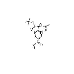 CNC1CC1(C(=O)OC(C)(C)C)c1ncc(C(=O)OC)cn1